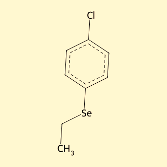 CC[Se]c1ccc(Cl)cc1